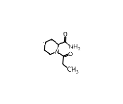 CCC(=O)N1CC[CH]CC1C(N)=O